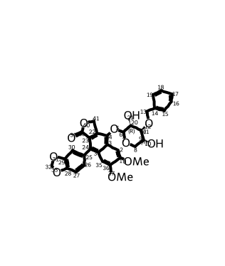 COc1cc2c(OC3OC[C@@H](O)[C@H](OCc4ccccc4)[C@H]3O)c3c(c(-c4ccc5c(c4)OCO5)c2cc1OC)C(=O)OC3